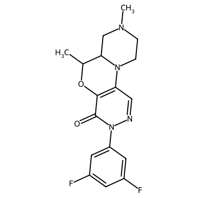 CC1Oc2c(cnn(-c3cc(F)cc(F)c3)c2=O)N2CCN(C)CC12